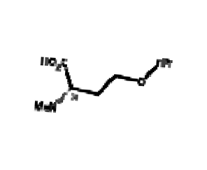 CCCOCC[C@H](NC)C(=O)O